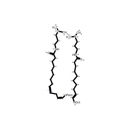 CCCCC/C=C\C/C=C\CCCCCCCC(=O)NCCCN(C)C.CCCCCCCCC=CCCCCCCCC(=O)NCCCN(C)C